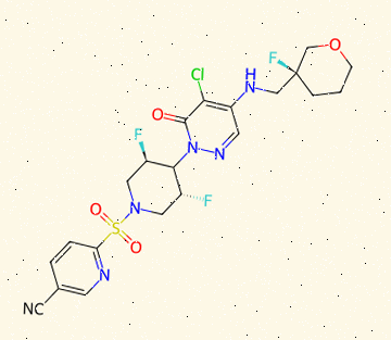 N#Cc1ccc(S(=O)(=O)N2C[C@@H](F)C(n3ncc(NC[C@@]4(F)CCCOC4)c(Cl)c3=O)[C@H](F)C2)nc1